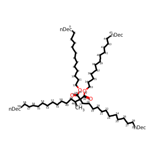 CCCCCCCCCCCCCCCCCCCCCCOC(=O)C(CCCCCCCCCCCCCCCCCCCCCC)(C(=O)OCCCCCCCCCCCCCCCCCCCCCC)C(C)CCCCCCCCCCCCCCCCCCCCC